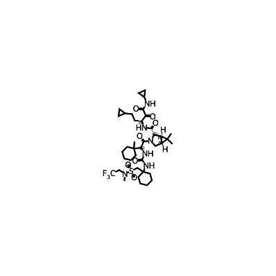 CN(CC(F)(F)F)S(=O)(=O)CC1(NC(=O)N[C@H](C(=O)N2C[C@H]3[C@@H]([C@H]2C(=O)N[C@@H](CCC2CC2)C(=O)C(=O)NC2CC2)C3(C)C)C2(C)CCCCC2)CCCCC1